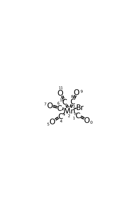 O=[C]=[Mn]([Br])(=[C]=O)(=[C]=O)(=[C]=O)=[C]=O